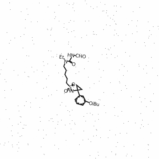 CCN(CCCCCS(=O)(=O)NC1(c2cccc(OCC(C)C)c2)CC1)C(=O)NC=O